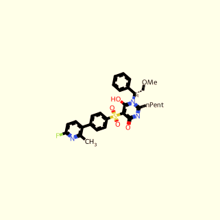 CCCCCc1nc(=O)c(S(=O)(=O)c2ccc(-c3ccc(F)nc3C)cc2)c(O)n1[C@@H](COC)c1ccccc1